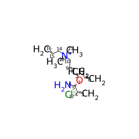 C=CC.C=CC(N)=O.C=CC[N+](C)(C)CC=C.[Cl-]